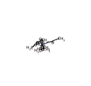 CC#CCOc1ccc(C[C@H](NC(=O)[C@@H](/C=C/CCCCCCC(=O)CCCCCCC)[C@@](O)(CCOC(C)=O)C(=O)OC(C)(C)C)C(=O)OC)cc1